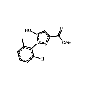 COC(=O)c1cc(O)n(-c2c(C)cccc2Cl)n1